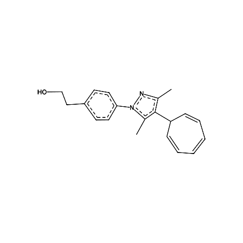 Cc1nn(-c2ccc(CCO)cc2)c(C)c1C1C=CC=CC=C1